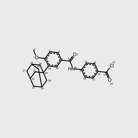 COc1ccc(C(=O)Nc2ccc(C(=O)Cl)cc2)cc1C12CC3CC(CC(C3)C1)C2